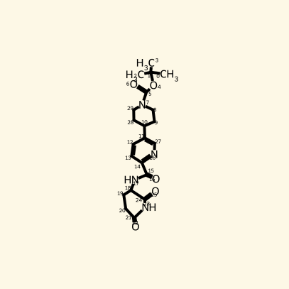 CC(C)(C)OC(=O)N1CCC(c2ccc(C(=O)NC3CCC(=O)NC3=O)nc2)CC1